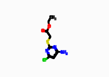 CCOC(=O)CSc1nc(N)cc(Cl)n1